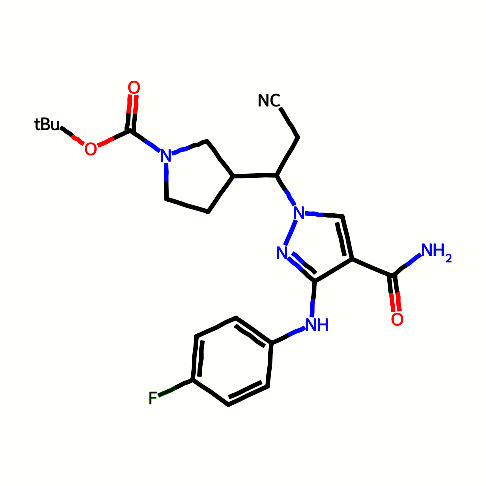 CC(C)(C)OC(=O)N1CCC(C(CC#N)n2cc(C(N)=O)c(Nc3ccc(F)cc3)n2)C1